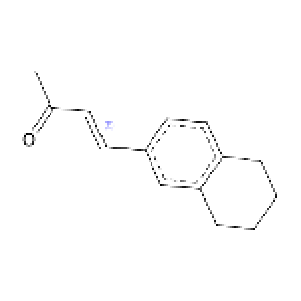 CC(=O)/C=C/c1ccc2c(c1)CCCC2